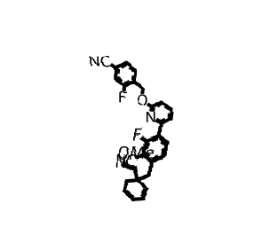 COCCC1(Cc2ccc(-c3cccc(OCc4ccc(C#N)cc4F)n3)c(F)c2C#N)C=CC=CC1